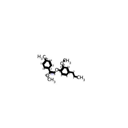 CCCc1ccc(O/C=C(/OC)c2ccc(C)cc2)c(OC)c1